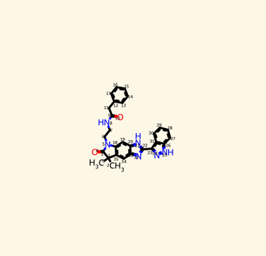 CC1(C)C(=O)N(CCNC(=O)Cc2ccccc2)c2cc3[nH]c(-c4n[nH]c5ccccc45)nc3cc21